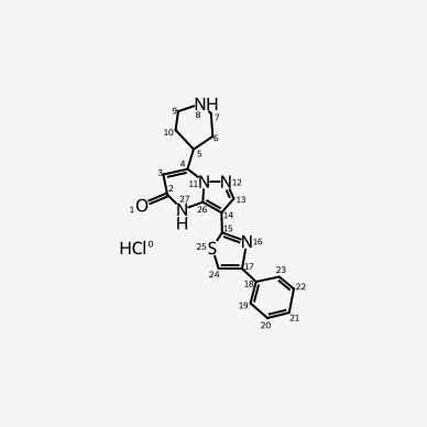 Cl.O=c1cc(C2CCNCC2)n2ncc(-c3nc(-c4ccccc4)cs3)c2[nH]1